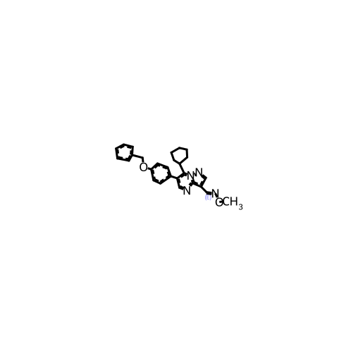 CO/N=C/c1cnn2c(C3CCCCC3)c(-c3ccc(OCc4ccccc4)cc3)cnc12